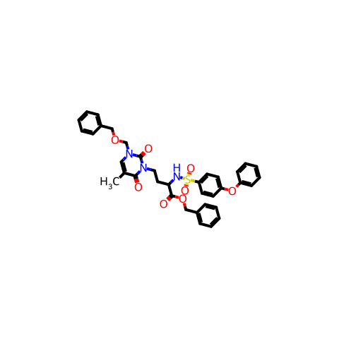 Cc1cn(COCc2ccccc2)c(=O)n(CCC(NS(=O)(=O)c2ccc(Oc3ccccc3)cc2)C(=O)OCc2ccccc2)c1=O